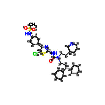 CS(=O)(=O)Nc1ccc(-c2nc(NC(=O)N(CCc3cccnc3)CCC(c3ccccc3)c3ccccc3)sc2Cl)cc1